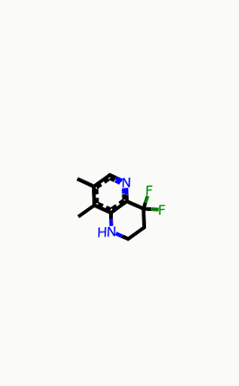 Cc1cnc2c(c1C)NCCC2(F)F